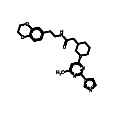 Cc1cc(N2CCCC(CC(=O)NCCc3ccc4c(c3)OCCO4)C2)nc(-n2ccnc2)n1